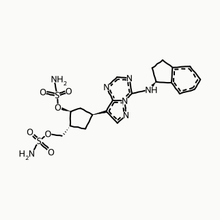 NS(=O)(=O)OC[C@H]1C[C@H](c2cnn3c(N[C@H]4CCc5ccccc54)ncnc23)C[C@@H]1OS(N)(=O)=O